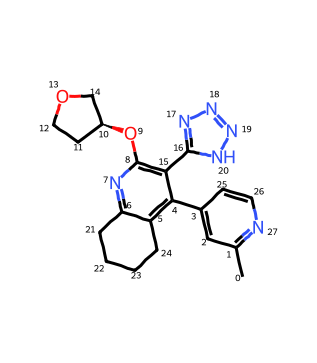 Cc1cc(-c2c3c(nc(O[C@H]4CCOC4)c2-c2nnn[nH]2)CCCC3)ccn1